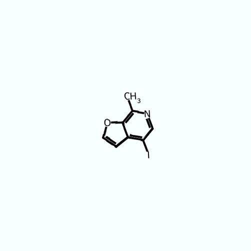 Cc1ncc(I)c2ccoc12